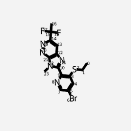 CCSc1cc(Br)cnc1-c1nc2cc(C(C)(F)F)nnc2n1C